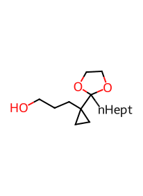 CCCCCCCC1(C2(CCCO)CC2)OCCO1